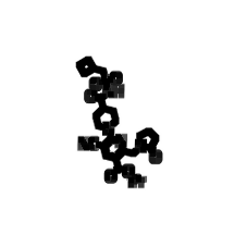 CC(C)OC(=O)c1cc(C#N)c(N2CCC(C(=O)NS(=O)(=O)CC3CCC3)CC2)nc1CN1CCCC1=O